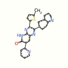 Cc1ccc(-c2nc3[nH]c(=O)c(-c4ccccn4)cc3nc2-c2ccc3ncccc3c2)s1